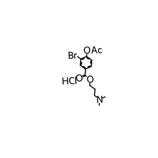 CC(=O)Oc1ccc(C(=O)OCCCN(C)C)cc1Br.Cl